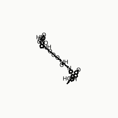 CC#C[C@]1(O)CC[C@H]2[C@@H]3CCC4=CC(=O)CCC4=C3[C@@H](c3ccc(N(C)CCCCC(=O)NCCCOCCOCCOCCCNc4cccc5c4C(=O)N(C4CCC(=O)NC4=O)C5=O)cc3)C[C@@]21C